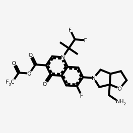 CC(C)(C(F)F)n1cc(C(=O)OC(=O)C(F)(F)F)c(=O)c2cc(F)c(N3CC4CCOC4(CN)C3)cc21